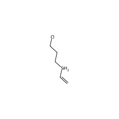 C=C[SiH2]CCCCl